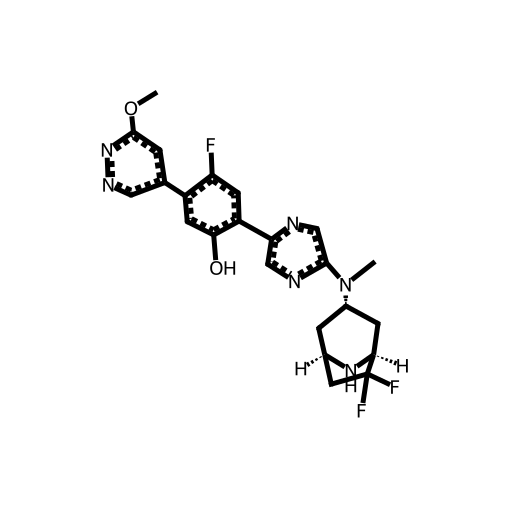 COc1cc(-c2cc(O)c(-c3cnc(N(C)[C@H]4C[C@@H]5CC(F)(F)[C@H](C4)N5)cn3)cc2F)cnn1